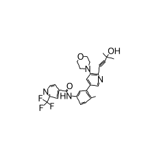 Cc1ccc(NC(=O)c2ccnc(C(F)(F)F)c2)cc1-c1cnc(C#CC(C)(C)O)c(N2CCOCC2)c1